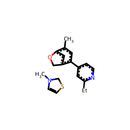 CCc1cc(-c2cc(C)c3cc2CO3)ccn1.CN1C=CSC1